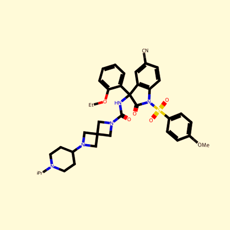 CCOc1ccccc1C1(NC(=O)N2CC3(C2)CN(C2CCN(C(C)C)CC2)C3)C(=O)N(S(=O)(=O)c2ccc(OC)cc2)c2ccc(C#N)cc21